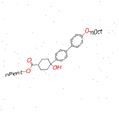 CCCCCCCCOc1ccc(-c2ccc(C3(O)CCC(C(=O)OCCCCC)CC3)cc2)cc1